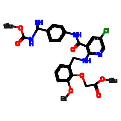 CCOc1cccc(CNc2ncc(Cl)cc2C(=O)Nc2ccc(C(=N)NC(=O)OC(C)(C)C)cc2)c1OCC(=O)OC(C)(C)C